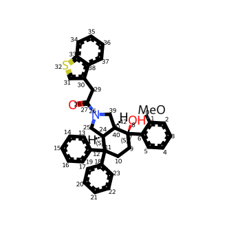 COc1ccccc1[C@]1(O)CCC(c2ccccc2)(c2ccccc2)[C@H]2CN(C(=O)Cc3csc4ccccc34)C[C@H]21